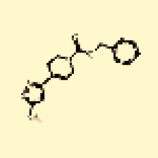 Cc1cc(C2=CCN(C(=O)OCc3ccccc3)CC2)sn1